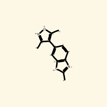 Cc1nc2ccc(-c3c(C)noc3C)cc2s1